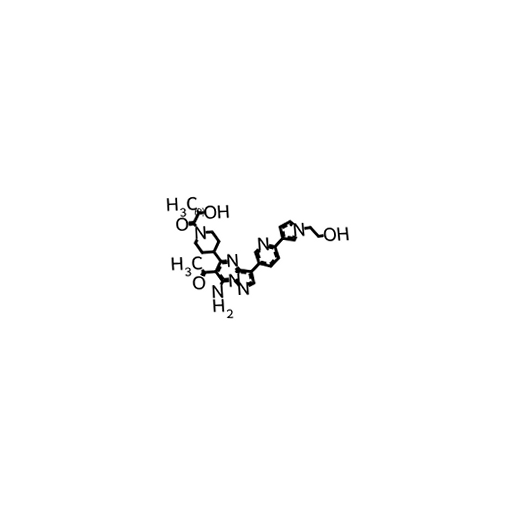 CC(=O)c1c(C2CCN(C(=O)[C@@H](C)O)CC2)nc2c(-c3ccc(-c4ccn(CCO)c4)nc3)cnn2c1N